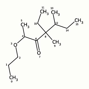 CCCOC(C)C(=O)C(C)(CC)C(C)CC